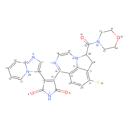 O=C1NC(=O)C(c2cnc3ccccn23)=C1C1=NC=CN2c3c1ccc(F)c3CC2C(=O)N1CCOCC1